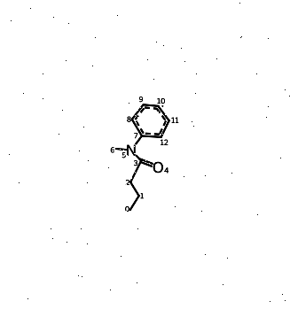 CCCC(=O)N(C)c1cc[c]cc1